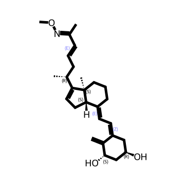 C=C1/C(=C\C=C2/CCC[C@]3(C)C([C@H](C)C/C=C/C(C)=NOC)=CC[C@@H]23)C[C@@H](O)C[C@@H]1O